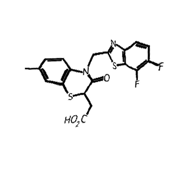 Cc1ccc2c(c1)SC(CC(=O)O)C(=O)N2Cc1nc2ccc(F)c(F)c2s1